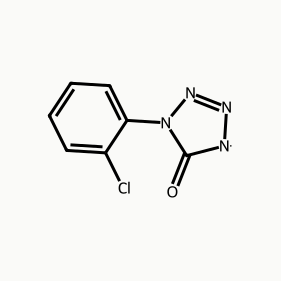 O=C1[N]N=NN1c1ccccc1Cl